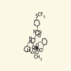 Cc1cc(-c2nc(-c3ccc(SC(F)(F)F)cc3)no2)nn1Cc1cccc(CC(C)(C)OP2(=O)OCc3ccccc3CO2)c1